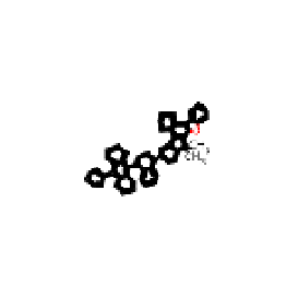 CC1(C)c2ccc(-c3ccc(-c4c5ccccc5c(-c5ccccc5)c5ccccc45)c4ccccc34)cc2-c2c1c1oc3ccccc3c1c1ccccc21